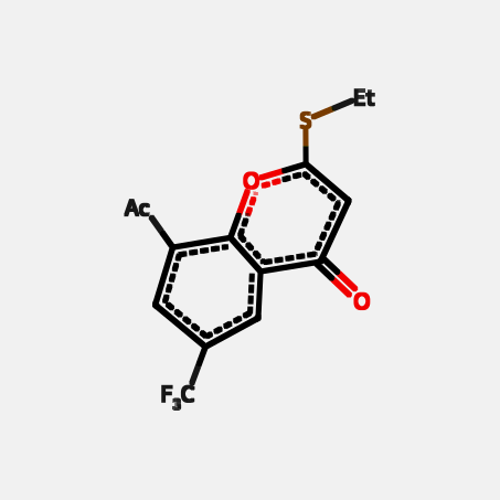 CCSc1cc(=O)c2cc(C(F)(F)F)cc(C(C)=O)c2o1